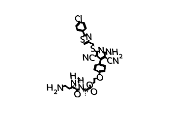 C[C@H](NC(=O)[C@@H](N)CCN)C(=O)OCCOc1ccc(-c2c(C#N)c(N)nc(SCc3csc(-c4ccc(Cl)cc4)n3)c2C#N)cc1